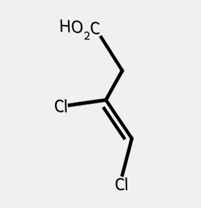 O=C(O)CC(Cl)=CCl